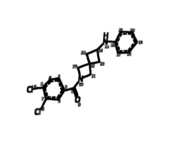 O=C(c1ccc(Cl)c(Cl)c1)N1CC2(CC(Nc3ccccc3)C2)C1